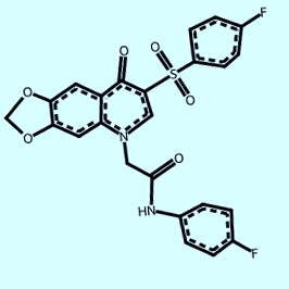 O=C(Cn1cc(S(=O)(=O)c2ccc(F)cc2)c(=O)c2cc3c(cc21)OCO3)Nc1ccc(F)cc1